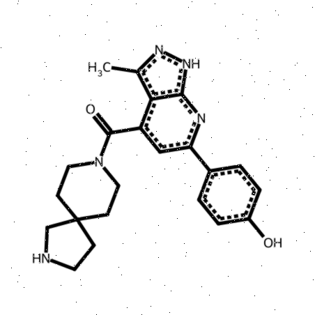 Cc1n[nH]c2nc(-c3ccc(O)cc3)cc(C(=O)N3CCC4(CCNC4)CC3)c12